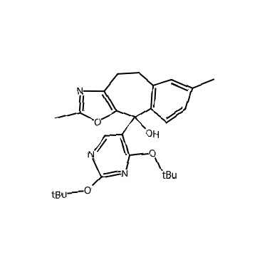 Cc1ccc2c(c1)CCc1nc(C)oc1C2(O)c1cnc(OC(C)(C)C)nc1OC(C)(C)C